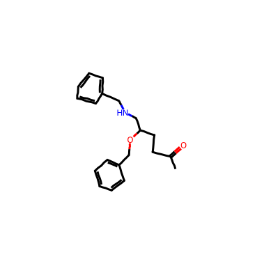 CC(=O)CCC(CNCc1ccccc1)OCc1ccccc1